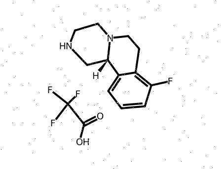 Fc1cccc2c1CCN1CCNC[C@@H]21.O=C(O)C(F)(F)F